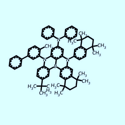 Cc1ccc(-c2ccccc2)cc1N1c2ccc(C(C)(C)C)cc2B2c3cc4c(cc3N(c3ccc5c(c3)C(C)(C)CCC5(C)C)c3cc(N(c5ccccc5)c5ccccc5)cc1c32)C(C)(C)CCC4(C)C